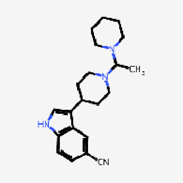 C[C](N1CCCCC1)N1CCC(c2c[nH]c3ccc(C#N)cc23)CC1